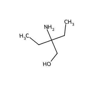 CCC(N)(CC)CO